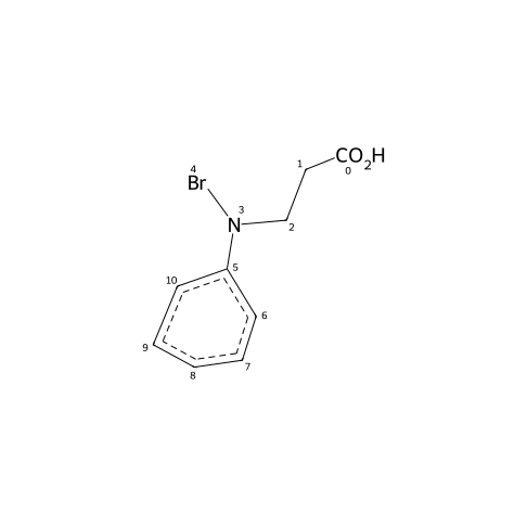 O=C(O)CCN(Br)c1ccccc1